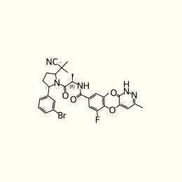 Cc1cc(Oc2c(C)cc(C(=O)N[C@H](C)C(=O)N3C(c4cccc(Br)c4)CCC3C(C)(C)C#N)cc2F)c(=O)[nH]n1